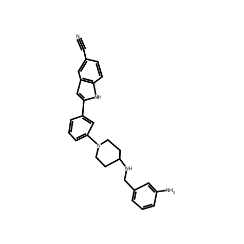 N#Cc1ccc2[nH]c(-c3cccc(N4CCC(NCc5cccc(N)c5)CC4)c3)cc2c1